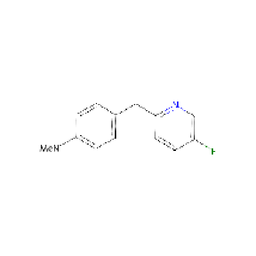 CNc1ccc(Cc2ccc(F)cn2)cc1